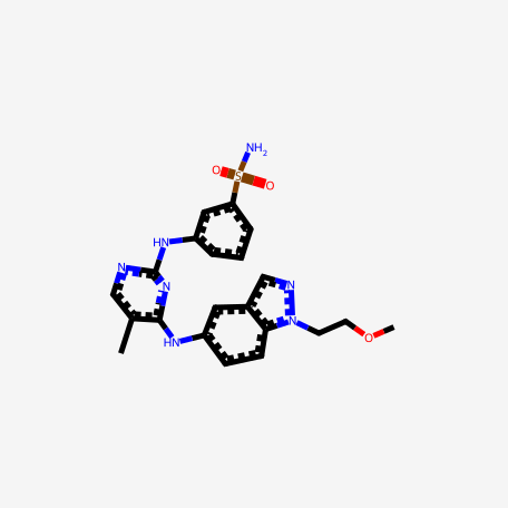 COCCn1ncc2cc(Nc3nc(Nc4cccc(S(N)(=O)=O)c4)ncc3C)ccc21